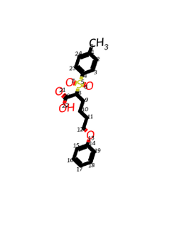 Cc1ccc(S(=O)(=O)C(CCCCOc2ccccc2)C(=O)O)cc1